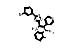 N/C(=C(/c1ccncc1)N(N)c1ccccc1F)c1nc(-c2cccc(Br)c2)no1